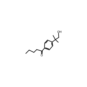 CCCCC(=O)c1ccc(C(C)(C)CO)cc1